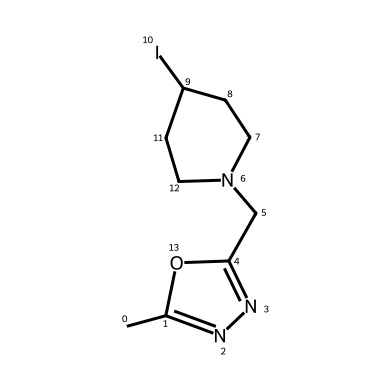 Cc1nnc(CN2CCC(I)CC2)o1